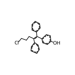 Oc1ccc(C(=C(CCCCl)c2ccccc2)c2ccccc2)cc1